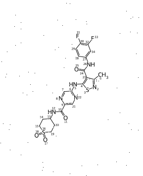 Cc1nsc(Nc2cnc(C(=O)NC3CCS(=O)(=O)CC3)cn2)c1C(=O)Nc1ccc(F)c(F)c1